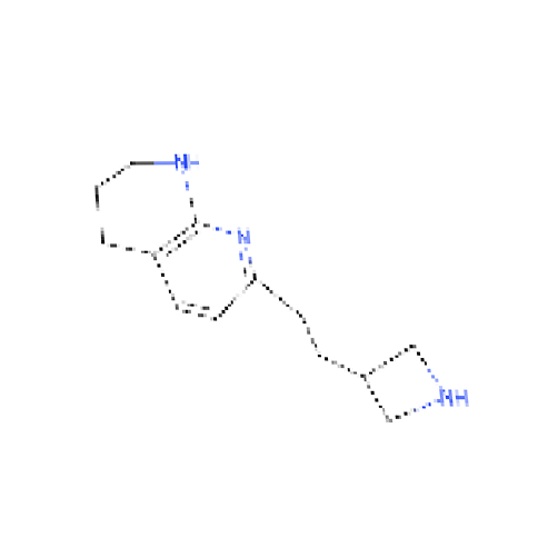 c1cc2c(nc1CCC1CNC1)NCCC2